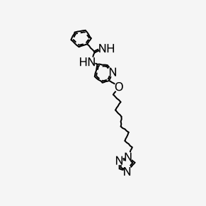 N=C(Nc1ccc(OCCCCCCCCn2cncn2)nc1)c1ccccc1